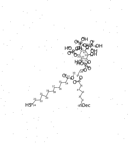 CCCCCCCCCCCCCCCC(=O)O[C@H](COC(=O)CCCCCCCCCCCS)COP(=O)(O)OC1C(O)[C@@H](OP(=O)(O)O)C(OP(=O)(O)O)[C@@H](OP(=O)(O)O)[C@H]1O